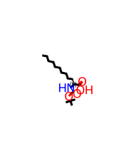 CCCCCCCCCC[C@H](NC(=O)OC(C)(C)C)C(=O)O